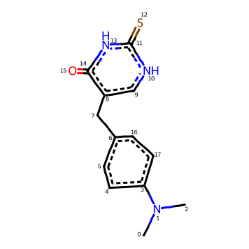 CN(C)c1ccc(Cc2c[nH]c(=S)[nH]c2=O)cc1